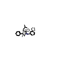 CC(C)CN1C(=O)/C(=C\c2cccc(Cl)c2)N=C1c1ccccc1